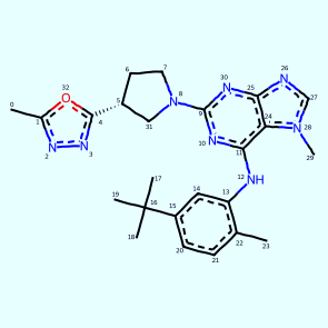 Cc1nnc([C@@H]2CCN(c3nc(Nc4cc(C(C)(C)C)ccc4C)c4c(ncn4C)n3)C2)o1